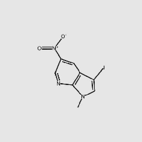 Cn1cc(I)c2cc([N+](=O)[O-])cnc21